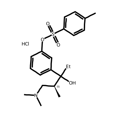 CCC(O)(c1cccc(OS(=O)(=O)c2ccc(C)cc2)c1)[C@@H](C)CN(C)C.Cl